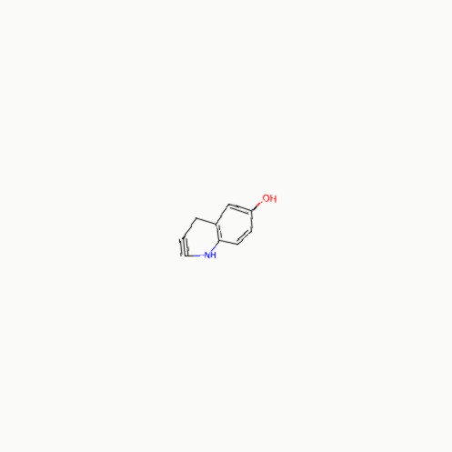 Oc1ccc2c(c1)CC#CN2